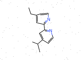 CCc1ccnc(-c2cc(C(C)C)ccn2)c1